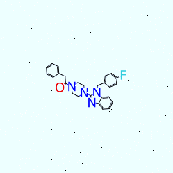 O=C(Cc1ccccc1)N1CCN(c2nc3ccccc3n2Cc2ccc(F)cc2)CC1